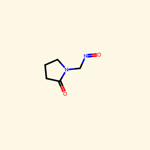 O=NCN1CCCC1=O